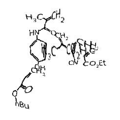 C=C(C)C(=O)Nc1ccc(O)cc1.C=C(C)C(=O)O.C=CC#N.C=CC(=O)OCC.C=CC(=O)OCCCC